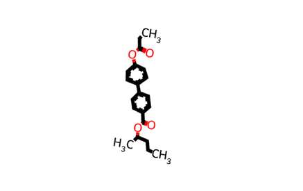 CCCC(C)OC(=O)c1ccc(-c2ccc(OC(=O)CC)cc2)cc1